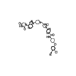 Cl.N#Cc1ccc(OC2CCC(NC(=O)c3cnc(N4CCC(CN5CCC(n6ncc7c(N8CCC(=O)NC8=O)nccc76)CC5)CC4)cn3)CC2)cc1Cl